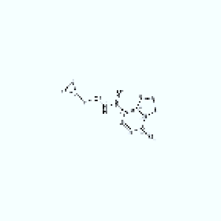 O=C(NOCC1CC1)c1ccc(=O)n2c1CCC2